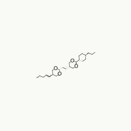 CCCC=C[C@H]1CO[C@H](CC[C@H]2CO[C@H]([C@H]3CC[C@H](CCC)CC3)OC2)OC1